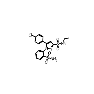 CCNS(=O)(=O)c1cc(-c2ccc(Cl)cc2)n(-c2ccccc2S(N)(=O)=O)n1